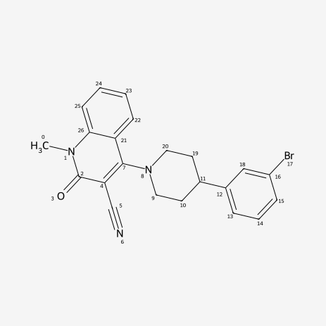 Cn1c(=O)c(C#N)c(N2CCC(c3cccc(Br)c3)CC2)c2ccccc21